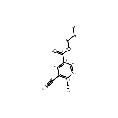 CCCOC(=O)c1cnc(Cl)c(C#N)c1